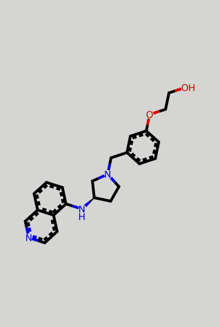 OCCOc1cccc(CN2CC[C@@H](Nc3cccc4cnccc34)C2)c1